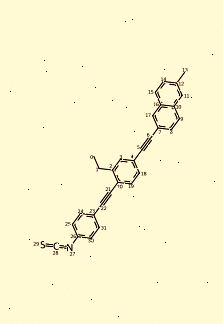 CCc1cc(C#Cc2ccc3cc(C)ccc3c2)ccc1C#Cc1ccc(N=C=S)cc1